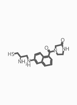 N[C@@H](CS)CNc1ccc2c(C(=O)N3CCNC(=O)C3)cccc2c1